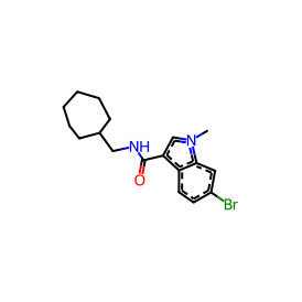 Cn1cc(C(=O)NCC2CCCCCC2)c2ccc(Br)cc21